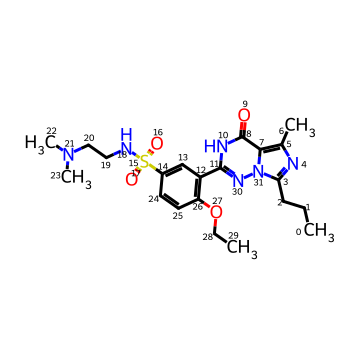 CCCc1nc(C)c2c(=O)[nH]c(-c3cc(S(=O)(=O)NCCN(C)C)ccc3OCC)nn12